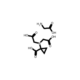 NCC(=O)O.O=C(O)CN(CC(=O)O)C1(C(=O)O)CC1